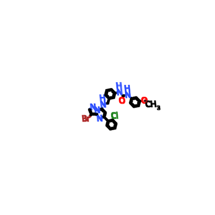 COc1cccc(NC(=O)Nc2cccc(CNc3cc(-c4ccccc4Cl)nc4c(Br)cnn34)c2)c1